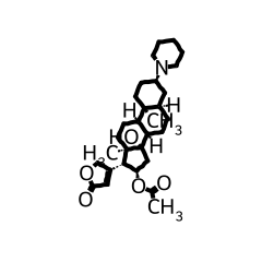 CC(=O)O[C@@H]1C[C@@]2(O)[C@@H]3CC[C@@H]4C[C@H](N5CCCCC5)CC[C@@]4(C)[C@@H]3CC[C@]2(C)[C@H]1C1=CC(=O)OC1